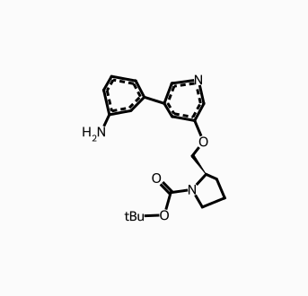 CC(C)(C)OC(=O)N1CCC[C@@H]1COc1cncc(-c2cccc(N)c2)c1